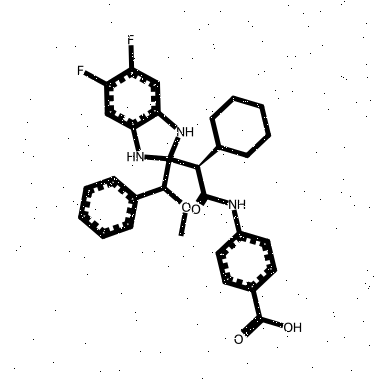 COC(c1ccccc1)C1([C@H](C(=O)Nc2ccc(C(=O)O)cc2)C2CCCCC2)Nc2cc(F)c(F)cc2N1